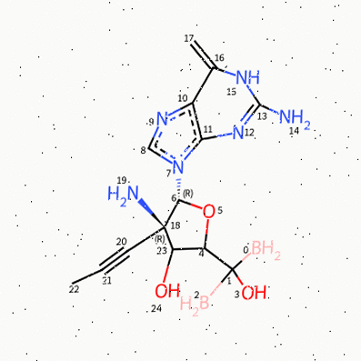 BC(B)(O)C1O[C@@H](n2cnc3c2N=C(N)NC3=C)[C@@](N)(C#CC)C1O